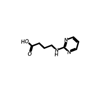 O=C(O)CCCNc1ncccn1